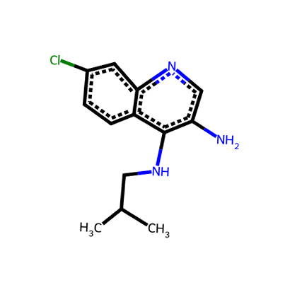 CC(C)CNc1c(N)cnc2cc(Cl)ccc12